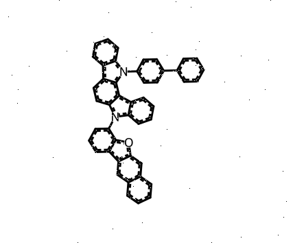 c1ccc(-c2ccc(-n3c4ccccc4c4ccc5c(c6ccccc6n5-c5cccc6c5oc5cc7ccccc7cc56)c43)cc2)cc1